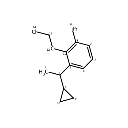 CC(C)c1cccc(C(C)C2CC2)c1OCCl